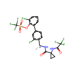 C[C@@H](NC(=O)C1(NC(=O)C(F)(F)F)CC1)c1ccc(-c2cccc(F)c2OS(=O)(=O)C(F)(F)F)cc1F